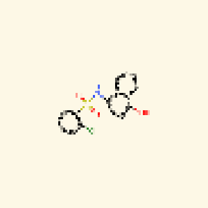 O=S(=O)(Nc1ccc(O)c2ccccc12)c1ccccc1Cl